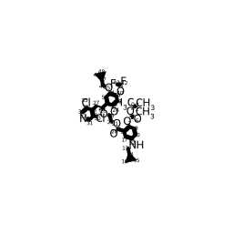 CC(C)(C)OC(=O)Oc1ccc(NCC2CC2)cc1C(=O)OCC(=O)O[C@@H](Cc1c(Cl)cncc1Cl)c1ccc(OC(F)F)c(OCC2CC2)c1